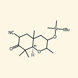 CC1O[C@@H]2C(C)(CC(C#N)C(=O)C2(C)C)CC1O[Si](C)(C)C(C)(C)C